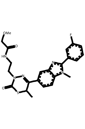 COCC(=O)NCCN1N=C(c2ccc3c(c2)nc(-c2cccc(F)c2)n3C)C(C)SC1=O